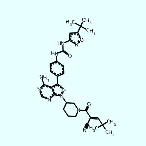 CC(C)(C)/C=C(\C#N)C(=O)N1CCC[C@@H](n2nc(-c3ccc(NC(=O)Nc4cc(C(C)(C)C)on4)cc3)c3c(N)ncnc32)C1